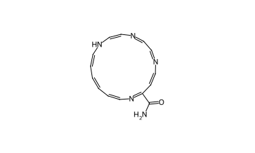 NC(=O)c1ccnccncc[nH]ccccccn1